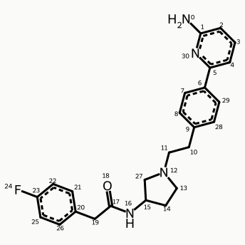 Nc1cccc(-c2ccc(CCN3CCC(NC(=O)Cc4ccc(F)cc4)C3)cc2)n1